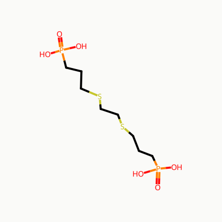 O=P(O)(O)CCCSCCSCCCP(=O)(O)O